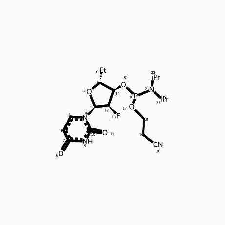 CC[C@H]1O[C@H](n2ccc(=O)[nH]c2=O)[C@H](F)[C@@H]1OP(OCCC#N)N(C(C)C)C(C)C